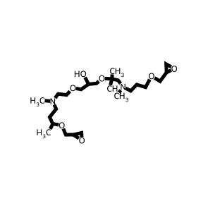 CC(CCN(C)CCOCC(O)COC(C)(C)CN(C)CCCOCC1CO1)OCC1CO1